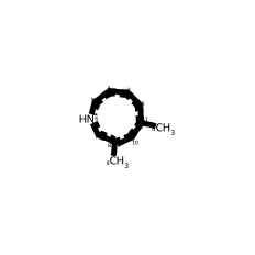 Cc1cccc[nH]cc(C)c1